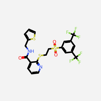 O=C(NCc1cccs1)c1cccnc1SCCS(=O)(=O)c1cc(C(F)(F)F)cc(C(F)(F)F)c1